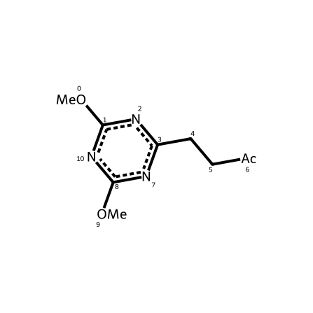 COc1nc(CCC(C)=O)nc(OC)n1